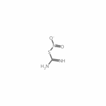 N=C(N)S[N+](=O)[O-]